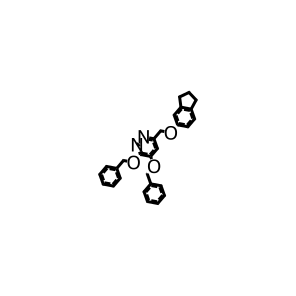 c1ccc(COc2cc(COc3ccc4c(c3)CCC4)nnc2OCc2ccccc2)cc1